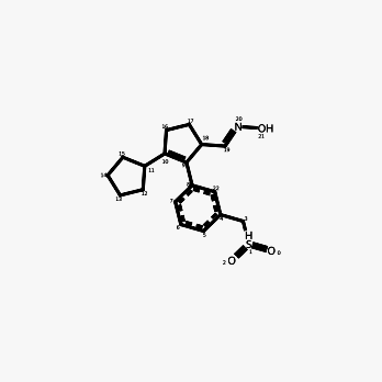 O=[SH](=O)Cc1cccc(C2=C(C3CCCC3)CCC2C=NO)c1